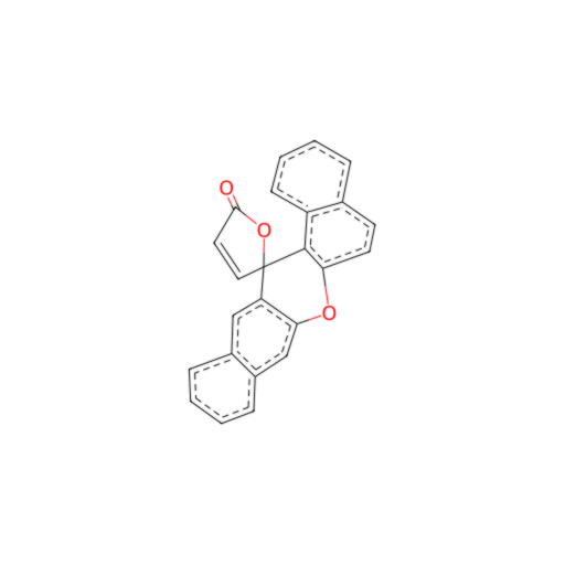 O=C1C=CC2(O1)c1cc3ccccc3cc1Oc1ccc3ccccc3c12